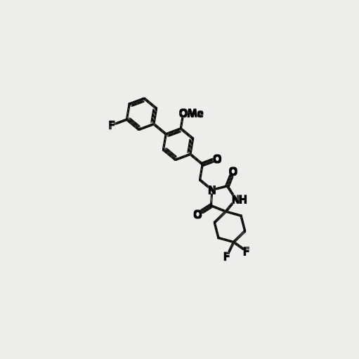 COc1cc(C(=O)CN2C(=O)NC3(CCC(F)(F)CC3)C2=O)ccc1-c1cccc(F)c1